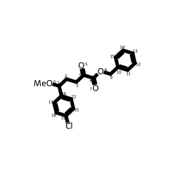 COC(CCC(=O)C(=O)OCc1ccccc1)c1ccc(Cl)cc1